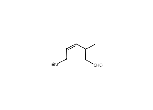 CCCCC/C=C\C(C)CC=O